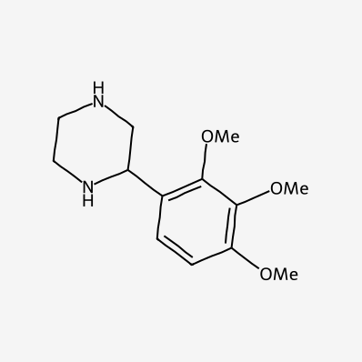 COc1ccc(C2CNCCN2)c(OC)c1OC